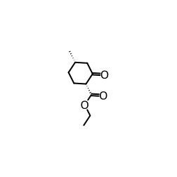 CCOC(=O)[C@@H]1CC[C@H](C)CC1=O